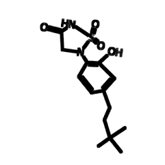 CC(C)(C)CCc1ccc(N2CC(=O)NS2(=O)=O)c(O)c1